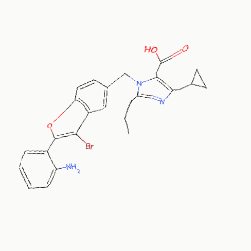 CCc1nc(C2CC2)c(C(=O)O)n1Cc1ccc2oc(-c3ccccc3N)c(Br)c2c1